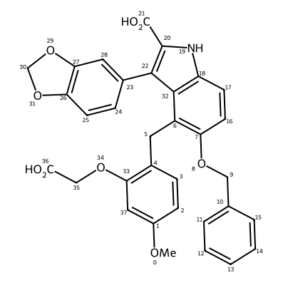 COc1ccc(Cc2c(OCc3ccccc3)ccc3[nH]c(C(=O)O)c(-c4ccc5c(c4)OCO5)c23)c(OCC(=O)O)c1